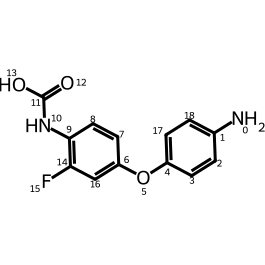 Nc1ccc(Oc2ccc(NC(=O)O)c(F)c2)cc1